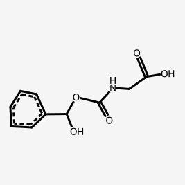 O=C(O)CNC(=O)OC(O)c1ccccc1